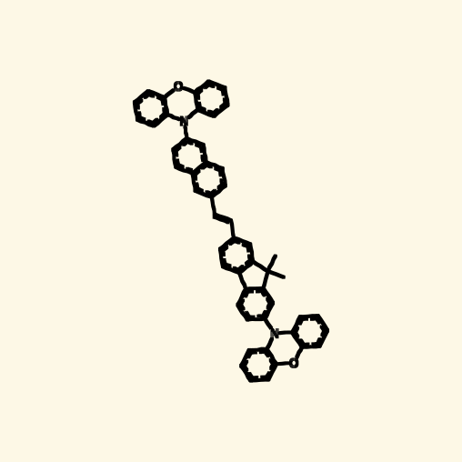 CC1(C)c2cc(/C=C/c3ccc4cc(N5c6ccccc6Oc6ccccc65)ccc4c3)ccc2-c2ccc(N3c4ccccc4Oc4ccccc43)cc21